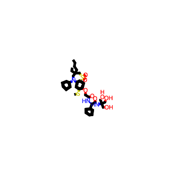 CCCCC1(CC)CN(c2ccccc2)c2cc(SC)c(OCC(=O)N[C@@H](C(=O)NC(CO)(CO)CO)c3ccccc3)cc2S(=O)(=O)C1